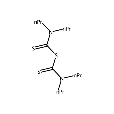 CCCN(CCC)C(=S)SC(=S)N(CCC)CCC